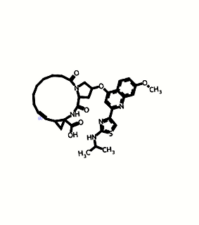 COc1ccc2c(OC3CC4C(=O)NC5(C(=O)O)CC5/C=C\CCCCCCC(=O)N4C3)cc(-c3csc(NC(C)C)n3)nc2c1